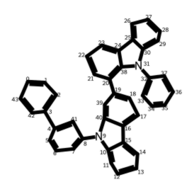 c1ccc(-c2cccc(-n3c4ccccc4c4ccc(-c5cccc6c7ccccc7n(-c7ccccc7)c56)cc43)c2)cc1